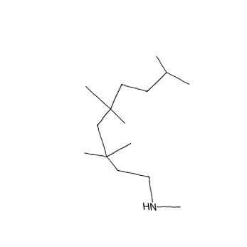 CNCCC(C)(C)CC(C)(C)CCC(C)C